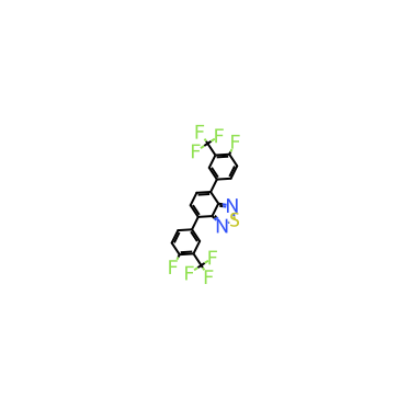 Fc1ccc(-c2ccc(-c3ccc(F)c(C(F)(F)F)c3)c3nsnc23)cc1C(F)(F)F